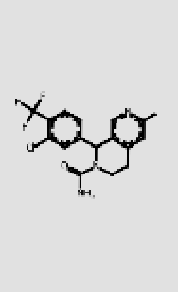 NC(=O)N1CCc2cc(F)ncc2C1c1ccc(C(F)(F)F)c(Cl)c1